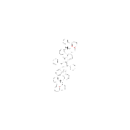 c1ccc(-c2ccccc2N(c2ccccc2)c2cccc3c2c2cccc4c5c(-c6ccccc6)c6c(c(-c7ccccc7)c5n3c24)c2cccc3c4c(N(c5ccccc5)c5ccccc5-c5ccccc5)cccc4n6c32)cc1